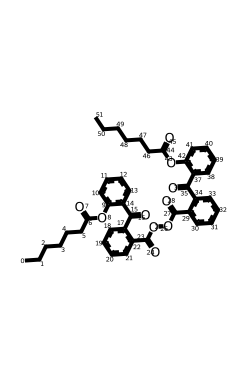 CCCCCCC(=O)Oc1ccccc1C(=O)c1ccccc1C(=O)OOC(=O)c1ccccc1C(=O)c1ccccc1OC(=O)CCCCCC